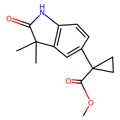 COC(=O)C1(c2ccc3c(c2)C(C)(C)C(=O)N3)CC1